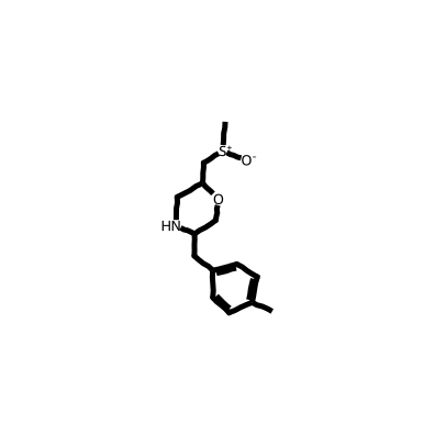 Cc1ccc(CC2COC(C[S+](C)[O-])CN2)cc1